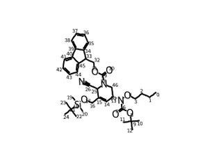 CCCCON(C(=O)OC(C)(C)C)[C@@H]1C=C(CO[Si](C)(C)C(C)(C)C)C(C#N)N(C(=O)OCC2c3ccccc3-c3ccccc32)C1